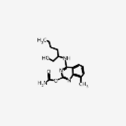 CCCCC(CO)Nc1nc(OC(N)=O)nc2c(C)cccc12